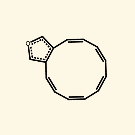 C1=C\C=C/C=C\c2cocc2/C=C\C=C/1